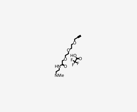 C#CCOCCOCCOCC(=O)NCCNC.O=C(O)C(F)(F)F